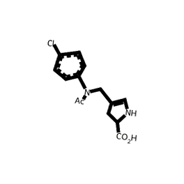 CC(=O)N(CC1=CNC(C(=O)O)C1)c1ccc(Cl)cc1